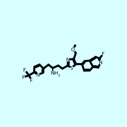 COCc1nc(CC[C@@H](N)Cc2ccc(C(F)(F)F)nc2)sc1-c1ccc2cnc(F)cc2c1